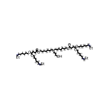 CC/C=C\CCCCCOC(CCC(=O)OCCCCCCCN(CCCO)CCCCCCCOC(=O)CCC(OCCCCC/C=C\CC)OCCCCC/C=C\CC)OCCCCC/C=C\CC